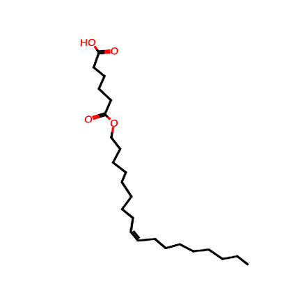 CCCCCCCC/C=C\CCCCCCCCOC(=O)CCCCC(=O)O